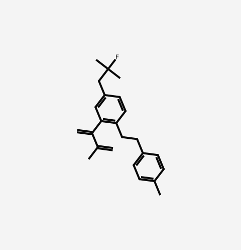 C=C(C)C(=C)c1cc(CC(C)(C)F)ccc1CCc1ccc(C)cc1